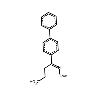 CON=C(CCC(=O)O)c1ccc(-c2ccccc2)cc1